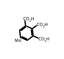 O=C(O)c1cccc(C(=O)O)c1C(=O)O.[Mo]